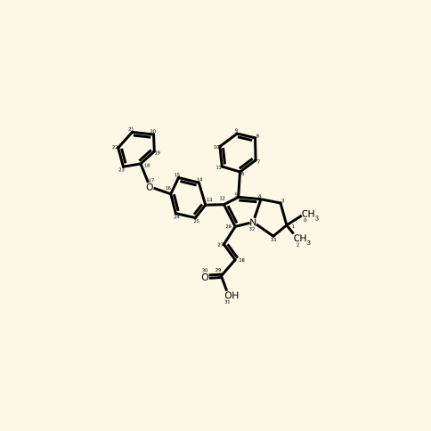 CC1(C)Cc2c(-c3ccccc3)c(-c3ccc(Oc4ccccc4)cc3)c(C=CC(=O)O)n2C1